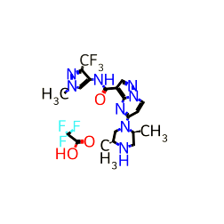 C[C@@H]1CN(c2ccn3ncc(C(=O)Nc4cn(C)nc4C(F)(F)F)c3n2)[C@@H](C)CN1.O=C(O)C(F)(F)F